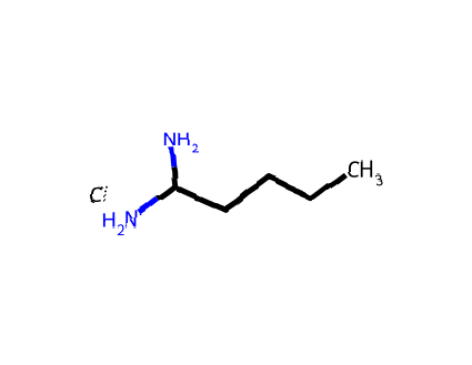 CCCCC(N)N.[C]